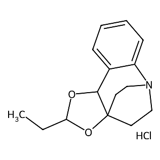 CCC1OC2c3ccccc3N3CCC2(CC3)O1.Cl